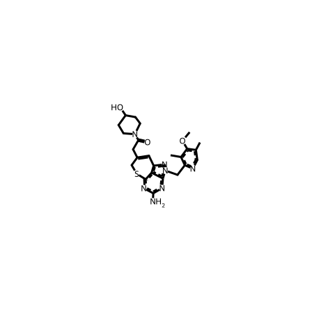 COc1c(C)cnc(Cn2nc3c4c(nc(N)nc42)SCC(CC(=O)N2CCC(O)CC2)=C3)c1C